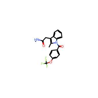 CNC(=O)Cc1c(C)n(C(=O)c2ccc(OC(F)(F)F)cc2)c2ccccc12